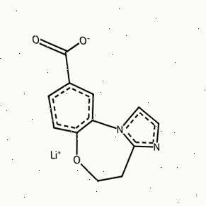 O=C([O-])c1ccc2c(c1)-n1ccnc1CCO2.[Li+]